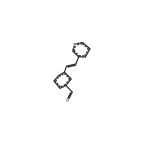 O=Cc1cccc(C=Cc2cccnc2)c1